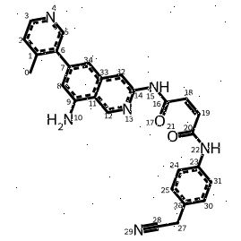 Cc1ccncc1-c1cc(N)c2cnc(NC(=O)/C=C\C(=O)Nc3ccc(CC#N)cc3)cc2c1